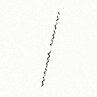 CCCCCCCCCCCCCCC(=O)COCC(=O)CCCCCCCCCCCCCC